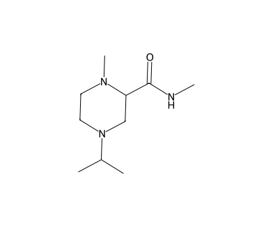 CNC(=O)C1CN(C(C)C)CCN1C